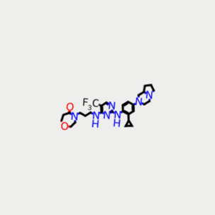 O=C1CCOCCN1CCCNc1nc(Nc2ccc(N3CCN4CCCC4C3)cc2C2CC2)ncc1C(F)(F)F